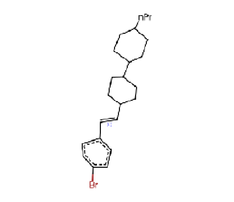 CCCC1CCC(C2CCC(/C=C/c3ccc(Br)cc3)CC2)CC1